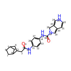 O=C(CC1CC2CCC1C2)Nc1ccc(NC(=O)N2C=C3C=CNC=C3C2)cc1